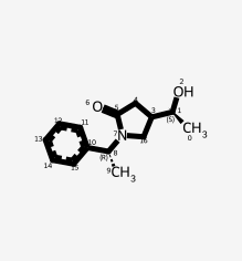 C[C@H](O)C1CC(=O)N([C@H](C)c2ccccc2)C1